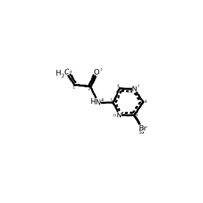 C=CC(=O)Nc1cncc(Br)n1